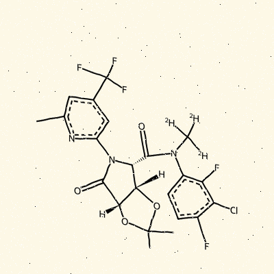 [2H]C([2H])([2H])N(C(=O)[C@@H]1[C@@H]2OC(C)(C)O[C@@H]2C(=O)N1c1cc(C(F)(F)F)cc(C)n1)c1ccc(F)c(Cl)c1F